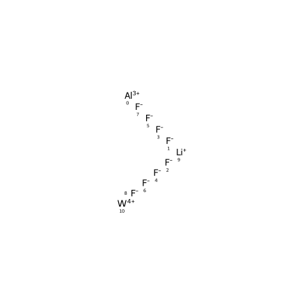 [Al+3].[F-].[F-].[F-].[F-].[F-].[F-].[F-].[F-].[Li+].[W+4]